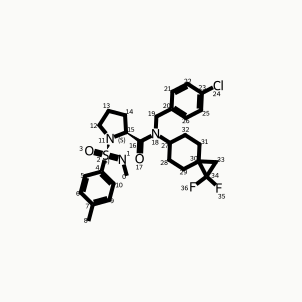 CN=[S@](=O)(c1ccc(C)cc1)N1CCC[C@H]1C(=O)N(Cc1ccc(Cl)cc1)C1CCC2(CC1)CC2(F)F